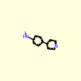 INc1ccc(-c2ccncc2)cc1